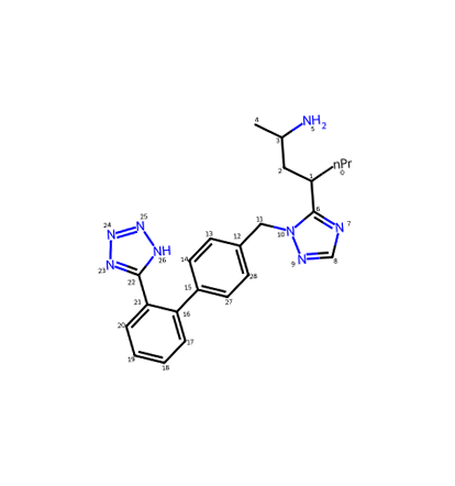 CCCC(CC(C)N)c1ncnn1Cc1ccc(-c2ccccc2-c2nnn[nH]2)cc1